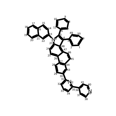 c1ccc(-c2c(-c3ccccc3)n(-c3ccc4ccccc4c3)c3ccc4c5ccc(-c6cccc(-c7ccncc7)n6)cc5ccc4c23)cc1